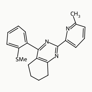 CSc1ccccc1-c1nc(-c2cccc(C)n2)nc2c1CCCC2